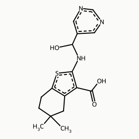 CC1(C)CCc2sc(NC(O)c3cncnc3)c(C(=O)O)c2C1